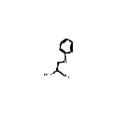 CCOC(=O)C(N)CNc1ccccc1